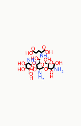 NC(CCC(=O)O)C(=O)O.N[C@@H]1[C@@H](O)[C@H](O[C@@H]2O[C@H](CO)[C@@H](O[C@@H]3O[C@H](CO)[C@@H](O)[C@H](O)[C@H]3N)[C@H](O)[C@H]2N)[C@@H](CO)O[C@H]1O